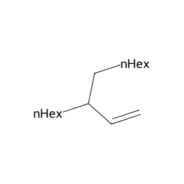 C=CC(CCCCCC)CCCCCCC